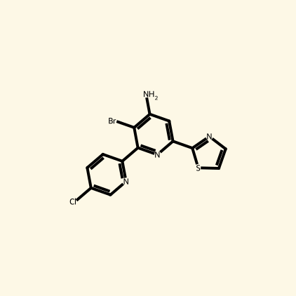 Nc1cc(-c2nccs2)nc(-c2ccc(Cl)cn2)c1Br